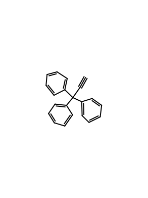 C#CC(c1ccccc1)(c1ccccc1)c1ccccc1